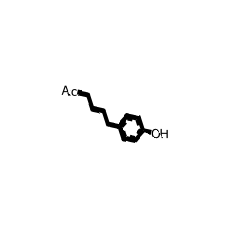 CC(=O)CCCCc1ccc(O)cc1